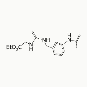 C=C(C)Nc1cccc(CNC(=C)NCC(=O)OCC)c1